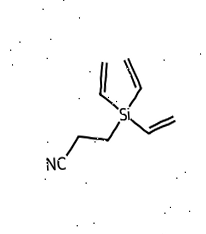 C=C[Si](C=C)(C=C)CCC#N